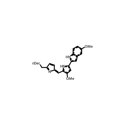 CCCCCCCCCCCC1=NC(=Cc2[nH]c(-c3cc4cc(OC)ccc4[nH]3)cc2OC)C=C1